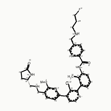 COc1nc(-c2ccnc(-c3cccc(NC(=O)c4ccc(CNCCCF)cn4)c3C)c2Cl)ccc1CNC[C@@H]1CCC(=O)N1